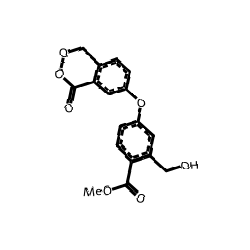 COC(=O)c1ccc(Oc2ccc3c(c2)C(=O)OOC3)cc1CO